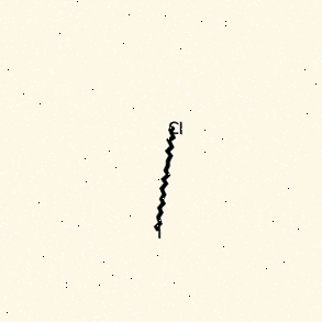 ClCCCCCCCCCCCCCCCCCCCCCI